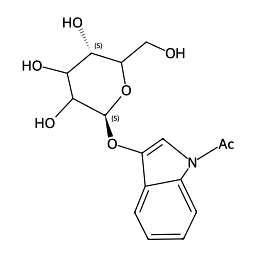 CC(=O)n1cc(O[C@@H]2OC(CO)[C@@H](O)C(O)C2O)c2ccccc21